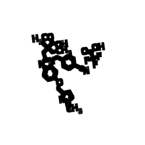 CCC(CC)(Cc1nc2ccc(OCc3ccn(C)n3)cc2n1Cc1ccc(C#N)cc1)C(=O)O.O=C(O)C(F)(F)F